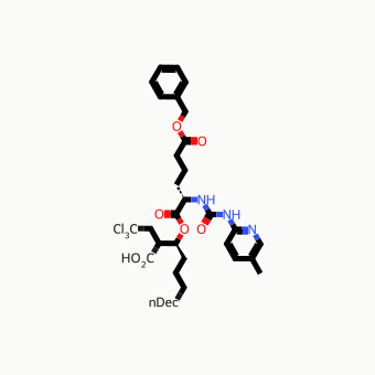 CCCCCCCCCCCCC[C@H](OC(=O)[C@H](CCCC(=O)OCc1ccccc1)NC(=O)Nc1ccc(C)cn1)C(CC(Cl)(Cl)Cl)C(=O)O